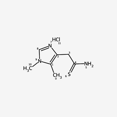 Cc1c(CC(N)=S)ncn1C.Cl